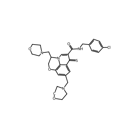 O=C(NCc1ccc(Cl)cc1)c1cn2c3c(cc(CN4CCOCC4)cc3c1=S)OCC2CN1CCOCC1